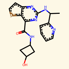 CC(Nc1nc(C(=O)NC2CC(O)C2)c2sccc2n1)c1ccccn1